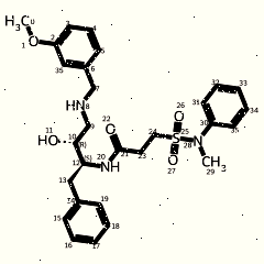 COc1cccc(CNC[C@@H](O)[C@H](Cc2ccccc2)NC(=O)CCS(=O)(=O)N(C)c2ccccc2)c1